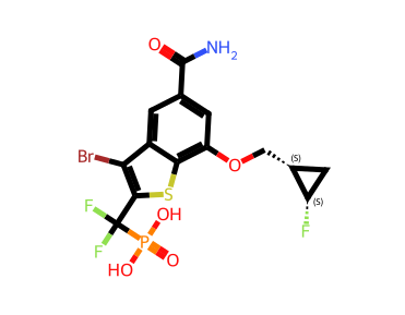 NC(=O)c1cc(OC[C@@H]2C[C@@H]2F)c2sc(C(F)(F)P(=O)(O)O)c(Br)c2c1